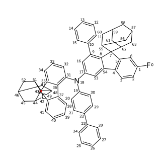 Fc1ccc2c(c1)C1(c3c(-c4ccccc4)cc(N(c4ccc(-c5ccccc5)cc4)c4cccc5c4-c4ccccc4C54C5CC6CC(C5)CC4C6)cc3-2)C2CC3CC(C2)CC1C3